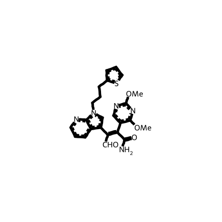 COc1ncc(/C(C(N)=O)=C(/C=O)c2cn(CCCc3cccs3)c3ncccc23)c(OC)n1